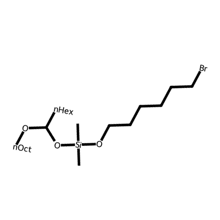 CCCCCCCCOC(CCCCCC)O[Si](C)(C)OCCCCCCBr